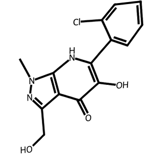 Cn1nc(CO)c2c(=O)c(O)c(-c3ccccc3Cl)[nH]c21